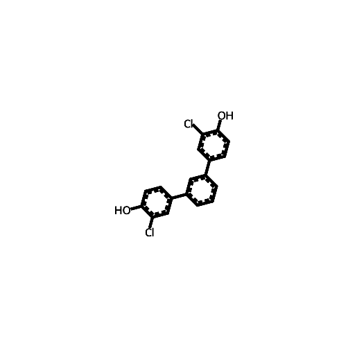 Oc1ccc(-c2cccc(-c3ccc(O)c(Cl)c3)c2)cc1Cl